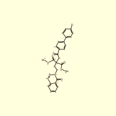 CCc1ccc(-c2ccc(C(=O)CC(CCn3nnc4ccccc4c3=O)(C(=O)OC(C)(C)C)C(=O)OC(C)(C)C)cc2)cc1